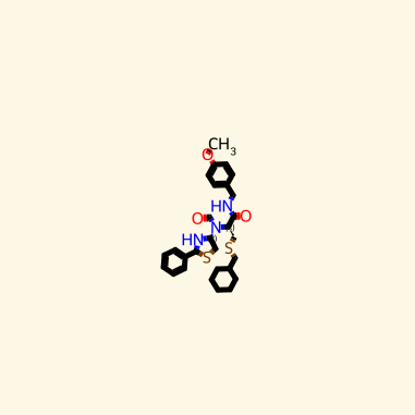 COc1ccc(CNC(=O)[C@H](CSCC2CCCCC2)N(C=O)[C@@H]2CSC(c3ccccc3)N2)cc1